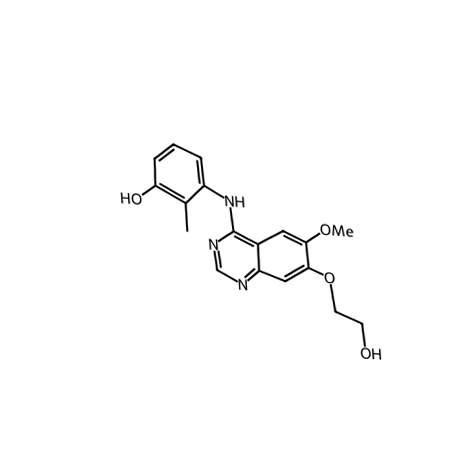 COc1cc2c(Nc3cccc(O)c3C)ncnc2cc1OCCO